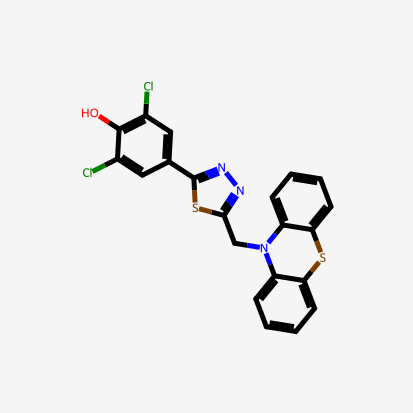 Oc1c(Cl)cc(-c2nnc(CN3c4ccccc4Sc4ccccc43)s2)cc1Cl